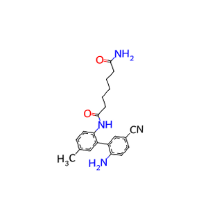 Cc1ccc(NC(=O)CCCCCC(N)=O)c(-c2cc(C#N)ccc2N)c1